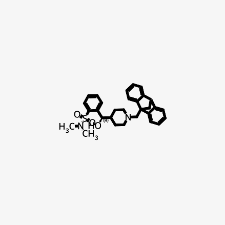 CN(C)S(=O)(=O)c1ccccc1[C@H](O)C1CCN(CC23CC(c4ccccc42)c2ccccc23)CC1